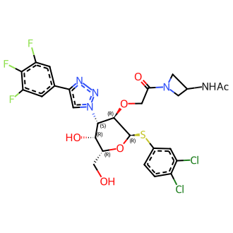 CC(=O)NC1CN(C(=O)CO[C@@H]2[C@@H](n3cc(-c4cc(F)c(F)c(F)c4)nn3)[C@@H](O)[C@@H](CO)O[C@@H]2Sc2ccc(Cl)c(Cl)c2)C1